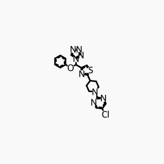 Clc1cnc(N2CCC(c3nc(C(Oc4ccccc4)n4cnnn4)cs3)CC2)nc1